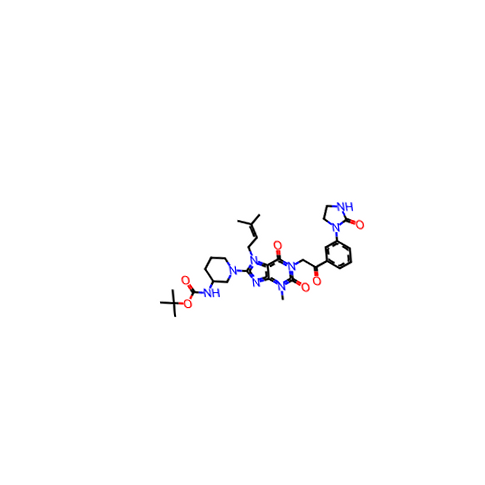 CC(C)=CCn1c(N2CCCC(NC(=O)OC(C)(C)C)C2)nc2c1c(=O)n(CC(=O)c1cccc(N3CCNC3=O)c1)c(=O)n2C